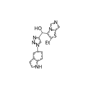 CCc1sc2cncn2c1C(O)c1cn(-c2ccc3[nH]ccc3c2)nn1